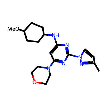 COC1CCC(Nc2cc(N3CCOCC3)nc(-n3ccc(C)n3)n2)CC1